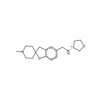 CN1CCC2(CC1)Cc1cc(CN[C@@H]3CCOC3)ccc1O2